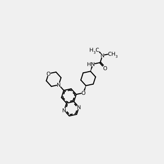 CN(C)C(=O)N[C@H]1CC[C@@H](Oc2cc(N3CCOCC3)cc3nccnc23)CC1